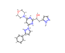 Cn1nccc1CC(O)c1nc(N2CCOCC2)cc(-n2ccc(-c3ccccc3)n2)n1